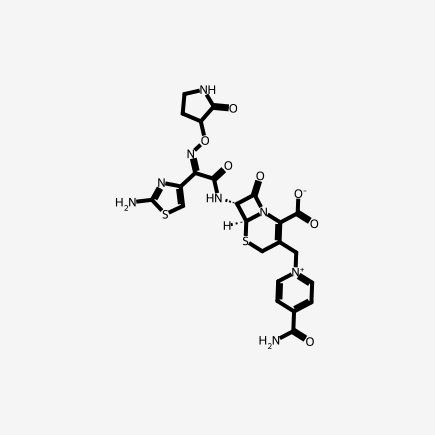 NC(=O)c1cc[n+](CC2=C(C(=O)[O-])N3C(=O)[C@@H](NC(=O)/C(=N\OC4CCNC4=O)c4csc(N)n4)[C@@H]3SC2)cc1